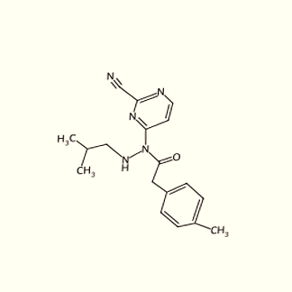 Cc1ccc(CC(=O)N(NCC(C)C)c2ccnc(C#N)n2)cc1